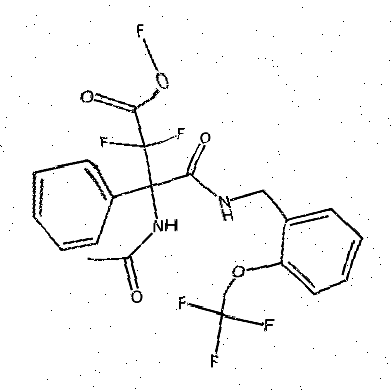 CC(=O)NC(C(=O)NCc1ccccc1OC(F)(F)F)(c1ccccc1)C(F)(F)C(=O)OF